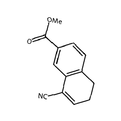 COC(=O)c1ccc2c(c1)C(C#N)=CCC2